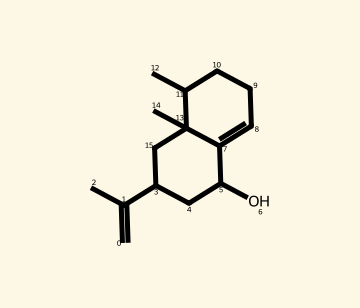 C=C(C)C1CC(O)C2=CCCC(C)C2(C)C1